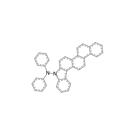 c1ccc(N(c2ccccc2)n2c3ccccc3c3c4ccc5c6ccccc6ccc5c4ccc32)cc1